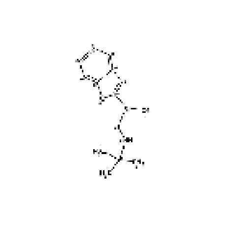 CC(C)(C)NCC(O)c1cc2ccccc2o1